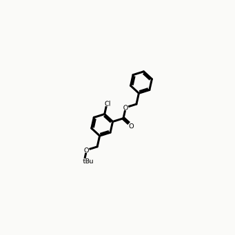 CC(C)(C)OCc1ccc(Cl)c(C(=O)OCc2ccccc2)c1